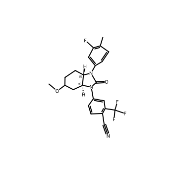 COC1CC[C@H]2[C@H](C1)N(c1ccc(C#N)c(C(F)(F)F)c1)C(=O)N2c1ccc(C)c(F)c1